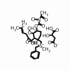 COC1C(OC(=O)N(Cl)C(C)=O)CCC(O)(C[S+](C)Cc2ccccc2)C1C1(C)OC1CC=C(C)C.O=C([O-])CC(O)C(=O)O